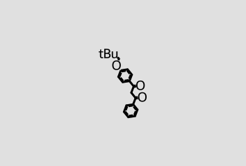 CC(C)(C)COc1ccc(C(=O)CC(=O)c2ccccc2)cc1